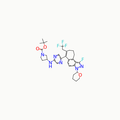 CC(C)(C)OC(=O)N1CCC(Nc2cnc(C3=C(CC(F)(F)F)CCCc4c3ccc3c4c(F)nn3C3CCCCO3)cn2)C1